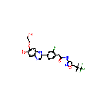 COc1cc2ncc(-c3ccc(CC(=O)Nc4cc(C(C)(C)C(F)(F)F)on4)c(F)c3)nc2cc1OCCO